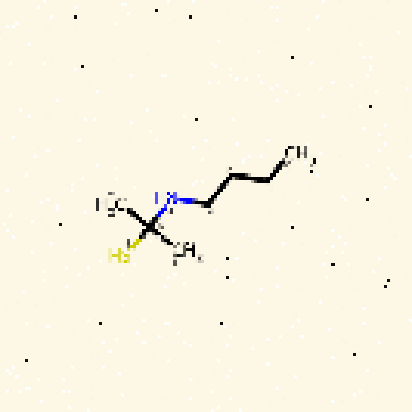 CCCCNC(C)(C)S